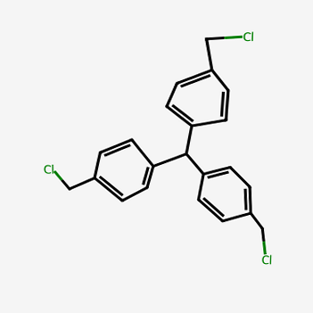 ClCc1ccc(C(c2ccc(CCl)cc2)c2ccc(CCl)cc2)cc1